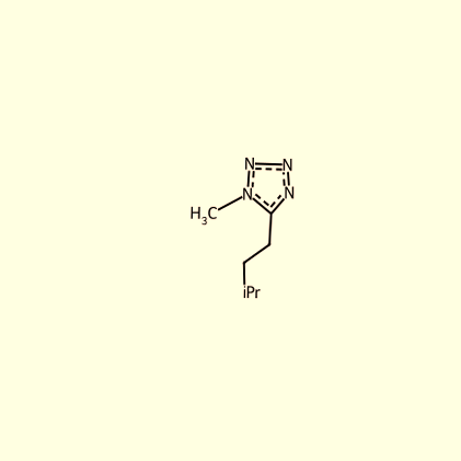 CC(C)CCc1nnnn1C